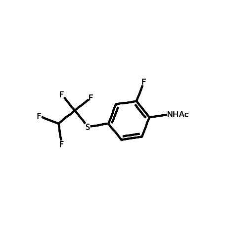 CC(=O)Nc1ccc(SC(F)(F)C(F)F)cc1F